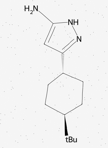 CC(C)(C)[C@H]1CC[C@H](c2cc(N)[nH]n2)CC1